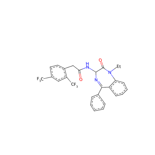 CCN1C(=O)C(NC(=O)Cc2ccc(C(F)(F)F)cc2C(F)(F)F)N=C(c2ccccc2)c2ccccc21